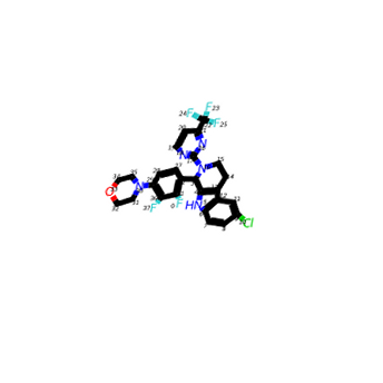 Fc1c(C2c3[nH]c4ccc(Cl)cc4c3CCN2c2nccc(C(F)(F)F)n2)ccc(N2CCOCC2)c1F